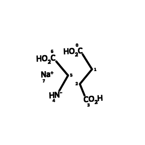 O=C(O)CCC(=O)O.[NH-]CC(=O)O.[Na+]